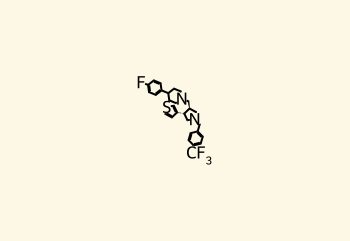 Fc1ccc(C2CCN(C[C@H]3CN(Cc4ccc(C(F)(F)F)cc4)C[C@@H]3c3ccsc3)CC2)cc1